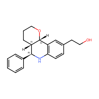 OCCc1ccc2c(c1)[C@H]1OCCC[C@H]1[C@H](c1ccccc1)N2